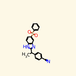 CC(c1ccc(C#N)cc1)c1nc2cc(S(=O)(=O)c3ccccc3)ccc2[nH]1